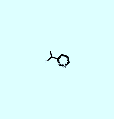 CC(Cl)c1cccnn1